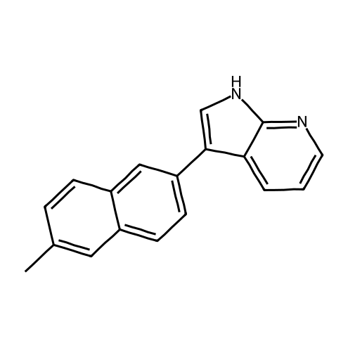 Cc1ccc2cc(-c3c[nH]c4ncccc34)ccc2c1